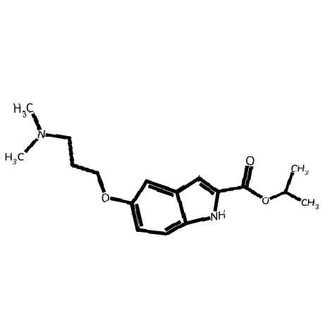 CC(C)OC(=O)c1[c]c2cc(OCCCN(C)C)ccc2[nH]1